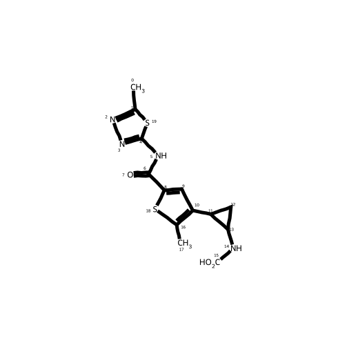 Cc1nnc(NC(=O)c2cc(C3CC3NC(=O)O)c(C)s2)s1